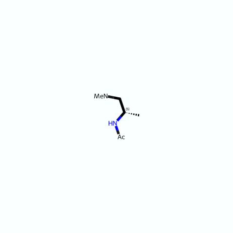 CNC[C@H](C)NC(C)=O